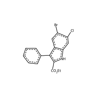 CCOC(=O)c1[nH]c2cc(Cl)c(Br)cc2c1-c1ccccc1